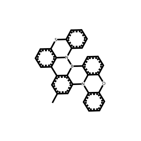 Cc1cc2c3c(c1)N1c4ccccc4Oc4cccc(c41)B3N1c3ccccc3Sc3cccc-2c31